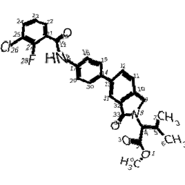 COC(=O)C(C(C)C)N1Cc2ccc(-c3ccc(NC(=O)c4cccc(Cl)c4F)cc3)cc2C1=O